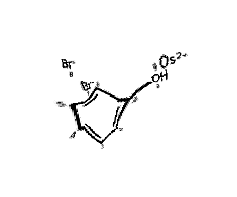 Oc1ccccc1.[Br-].[Br-].[Os+2]